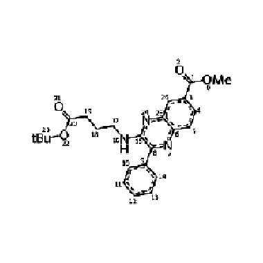 COC(=O)c1ccc2nc(-c3ccccc3)c(NCCCC(=O)OC(C)(C)C)nc2c1